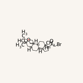 CCOC[C@]12CC[C@@](C)(O)C[C@@H]1CC[C@H]1[C@@H]3CC[C@H](C(=O)CBr)[C@@]3(C)CC[C@@H]12